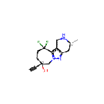 C#C[C@]1(O)CCC(F)(F)c2c3c(nn2C1)C[C@@H](C)NC3